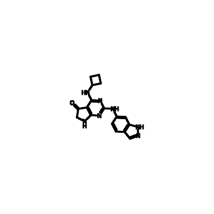 O=C1CNc2nc(Nc3ccc4cn[nH]c4c3)nc(NC3CCC3)c21